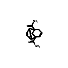 NC(=O)C12C=CCC(C(N)=O)(C1)c1ccc2cc1